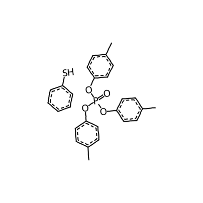 Cc1ccc(OP(=O)(Oc2ccc(C)cc2)Oc2ccc(C)cc2)cc1.Sc1ccccc1